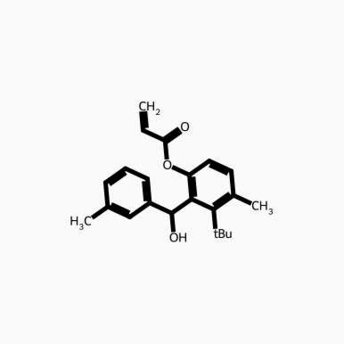 C=CC(=O)Oc1ccc(C)c(C(C)(C)C)c1C(O)c1cccc(C)c1